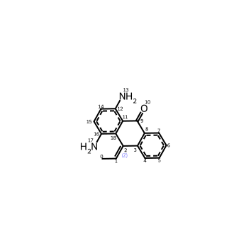 C/C=C1/c2ccccc2C(=O)c2c(N)ccc(N)c21